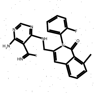 Cc1cccc2cc(CNc3ncnc(N)c3C(=N)I)n(-c3ccccc3F)c(=O)c12